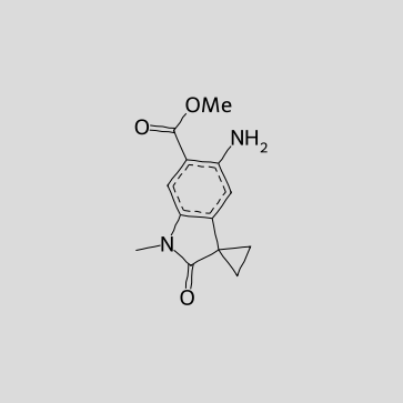 COC(=O)c1cc2c(cc1N)C1(CC1)C(=O)N2C